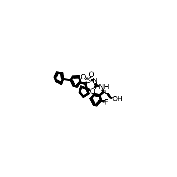 O=S1(=O)N=C(N[C@@H](CCO)c2ccccc2F)OC2(CCCC2)C1c1ccc(-c2ccccc2)cc1